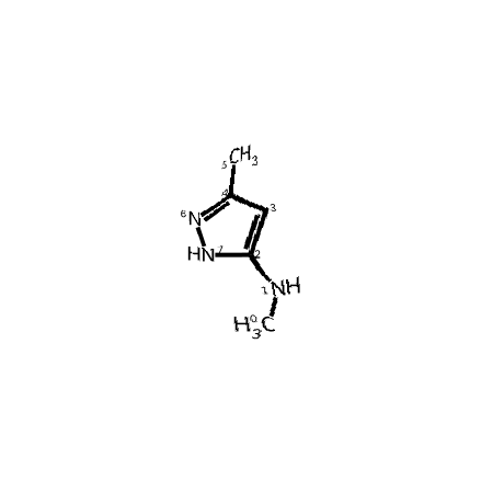 CNc1cc(C)n[nH]1